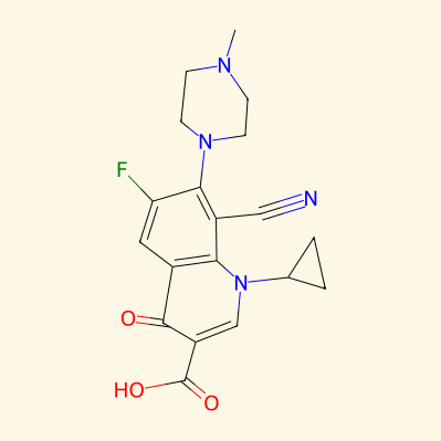 CN1CCN(c2c(F)cc3c(=O)c(C(=O)O)cn(C4CC4)c3c2C#N)CC1